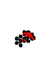 Fc1cccc(-c2ccccc2)c1N1c2cc3c(cc2B2c4ccccc4N(c4c(-c5ccccc5)cccc4-c4ccccc4)c4cc(N(c5ccccc5)c5c(-c6ccccc6)cccc5-c5ccccc5)cc1c42)B1c2ccccc2N(c2ccccc2)c2cc(N(c4ccccc4)c4ccccc4)cc(c21)S3